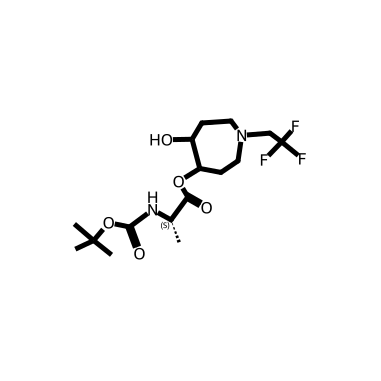 C[C@H](NC(=O)OC(C)(C)C)C(=O)OC1CCN(CC(F)(F)F)CCC1O